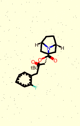 CC(C)(C)OC(=O)N1[C@@H]2CC[C@H]1C[C@@H](CC(=O)Cc1ccccc1F)C2